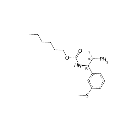 CCCCCCOC(=O)N[C@H](c1cccc(SC)c1)[C@H](C)P